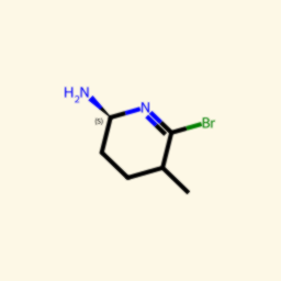 CC1CC[C@@H](N)N=C1Br